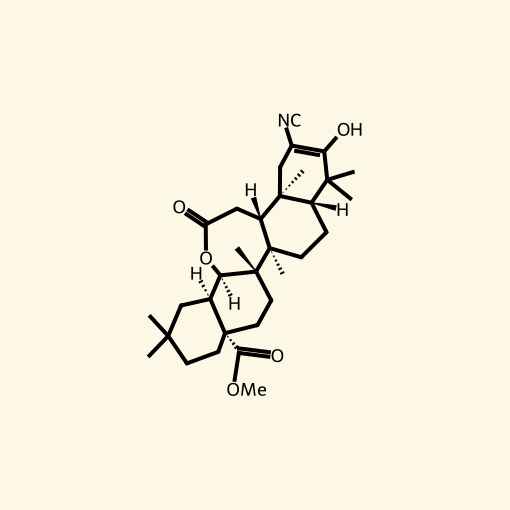 [C-]#[N+]C1=C(O)C(C)(C)[C@@H]2CC[C@]3(C)[C@H](CC(=O)O[C@@H]4[C@@H]5CC(C)(C)CC[C@]5(C(=O)OC)CC[C@]43C)[C@@]2(C)C1